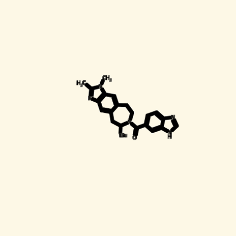 Cc1nc2cc3c(cc2n1C)CCN(C(=O)c1ccc2nc[nH]c2c1)C(C(C)(C)C)C3